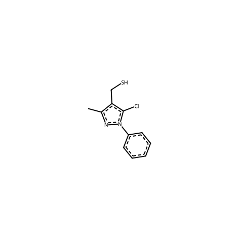 Cc1nn(-c2ccccc2)c(Cl)c1CS